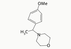 COc1ccc(C(C)N2CCOCC2)cc1